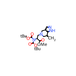 C=C1CN(CC(C(=O)OC)N(C(=O)OC(C)(C)C)C(=O)OC(C)(C)C)Cc2cn[nH]c21